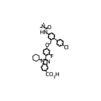 CN(C)C(=O)Nc1ccc(-c2ccc(Cl)cc2)c(COc2ccc(-c3nc4cc(C(=O)O)ccc4n3C3CCCCC3)c(F)c2)c1